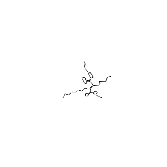 CCCCCCCCC(C(=O)OCC)=C(CCCCC)C(=O)OCC